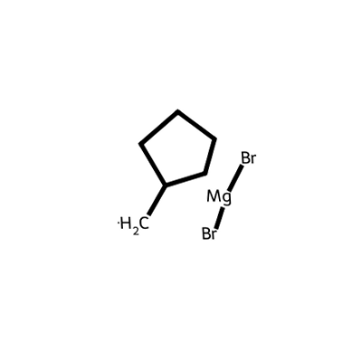 [Br][Mg][Br].[CH2]C1CCCC1